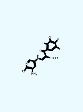 CCOC(=O)/C(=C/Nc1cnc(Cl)c(N)c1)C(=O)c1cc(F)c(F)c(Cl)c1F